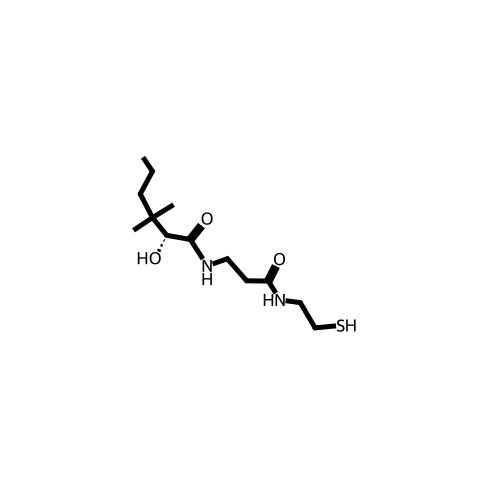 CCCC(C)(C)[C@@H](O)C(=O)NCCC(=O)NCCS